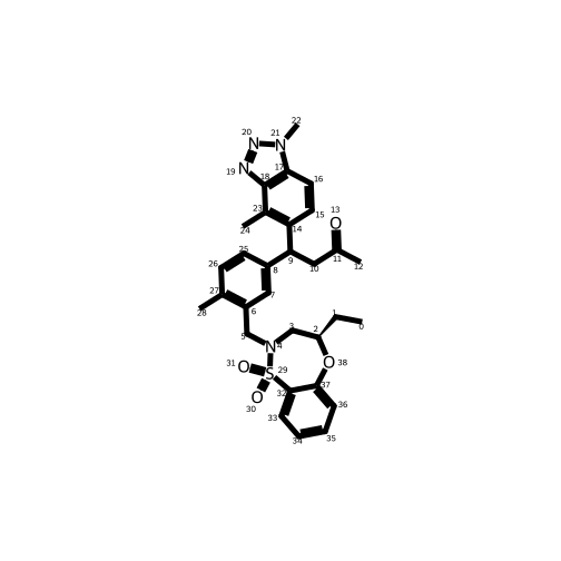 CC[C@@H]1CN(Cc2cc(C(CC(C)=O)c3ccc4c(nnn4C)c3C)ccc2C)S(=O)(=O)c2ccccc2O1